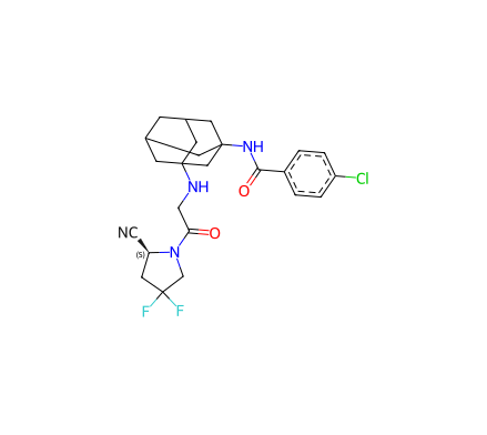 N#C[C@@H]1CC(F)(F)CN1C(=O)CNC12CC3CC(C1)CC(NC(=O)c1ccc(Cl)cc1)(C3)C2